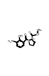 CC(C)(C)OC(=O)[C@H]1CCCN1C(=O)c1cccc(N)c1O